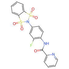 O=C(Nc1ccc(N2S(=O)(=O)c3ccccc3S2(=O)=O)cc1F)c1ccccn1